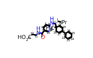 CC(C)C[C@@H](Nc1ccc(C(=O)NCCC(=O)O)cn1)C1(C(F)(F)F)C=CC(c2ccccc2)=CC1